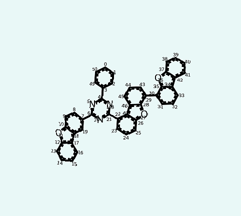 c1ccc(-c2nc(-c3ccc4oc5ccccc5c4c3)nc(-c3cccc4oc5c(-c6cccc7c6oc6ccccc67)cccc5c34)n2)cc1